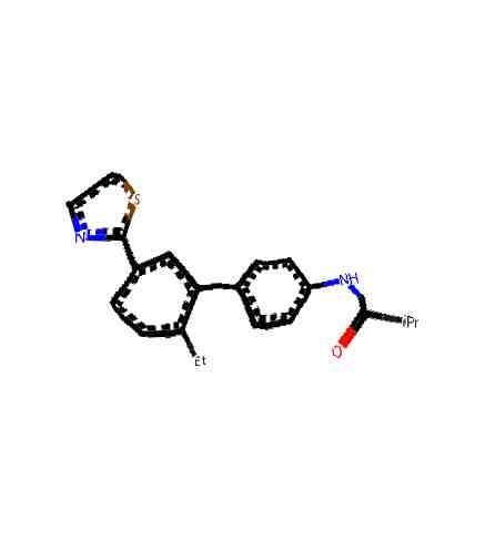 CCc1ccc(-c2nccs2)cc1-c1ccc(NC(=O)C(C)C)cc1